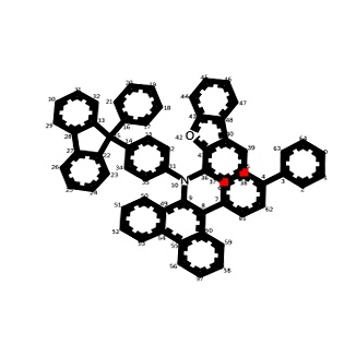 c1ccc(-c2ccc(-c3c(N(c4ccc(C5(c6ccccc6)c6ccccc6-c6ccccc65)cc4)c4cccc5c4oc4ccccc45)c4ccccc4c4ccccc34)cc2)cc1